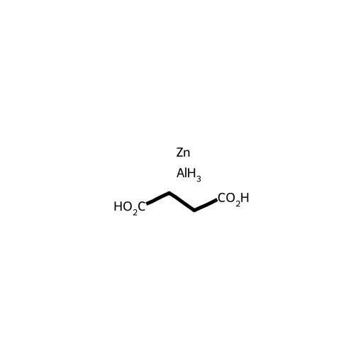 O=C(O)CCC(=O)O.[AlH3].[Zn]